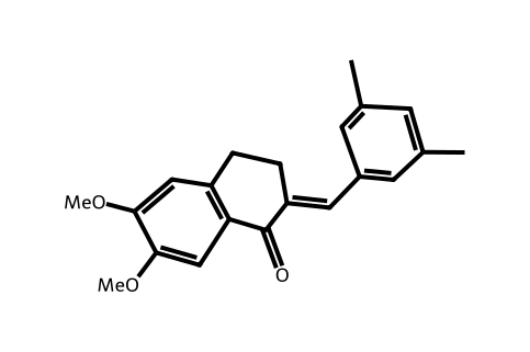 COc1cc2c(cc1OC)C(=O)C(=Cc1cc(C)cc(C)c1)CC2